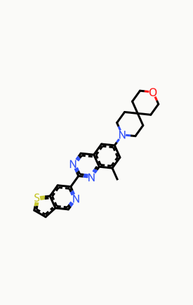 Cc1cc(N2CCC3(CCOCC3)CC2)cc2cnc(-c3cc4sccc4cn3)nc12